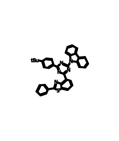 CC(C)(C)c1ccc(-c2nc(-c3cccc4sc(-c5ccccc5)nc34)nc(-n3c4ccccc4c4ccccc43)n2)cc1